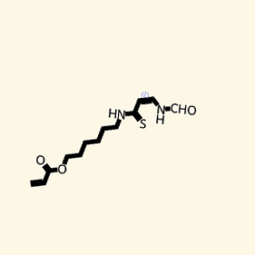 C=CC(=O)OCCCCCCNC(=S)/C=C\NC=O